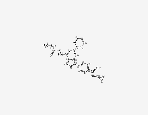 CNC(=O)CNc1nc(-c2ccccc2)cn2c(-c3ccc(C(=O)NC4CC4)cc3)cnc12